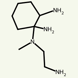 CN(CCN)C1(N)CCCCC1N